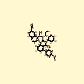 CCC[C@H](Nc1ncnc2ccc(C#N)cc12)c1nc2cccc(-c3cnc(OC)nc3)c2c(=O)n1-c1ccccc1